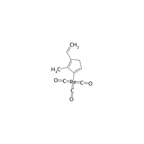 C=CC1=C(C)[C]([Re](=[C]=O)(=[C]=O)=[C]=O)=CC1